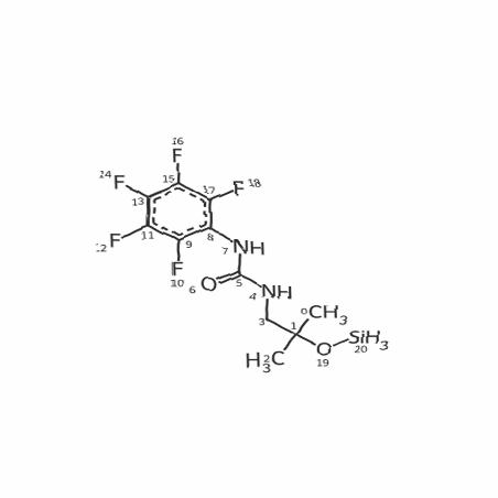 CC(C)(CNC(=O)Nc1c(F)c(F)c(F)c(F)c1F)O[SiH3]